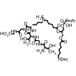 CCCCCCCCCCCCCCCC(=O)OC[C@H](COP(=O)(O)OCCC)OC(=O)CCCCN(C)CCCC[C@H](NC(=O)[C@@H](NC(=O)CNC(=O)[C@@H](N)[C@@H](C)O)[C@@H](C)O)C(=O)NCC(=O)NCC(=O)O